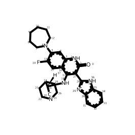 O=c1[nH]c2cc(N3CCCCCC3)c(F)cc2c(N[C@@H]2CN3CCC2CC3)c1-c1nc2ccccc2[nH]1